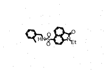 CCN1C(=O)c2cccc3c(S(=O)(=O)NCc4ccccc4C)ccc1c23